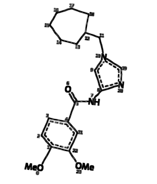 COc1ccc(C(=O)Nc2cn(CC3CCCCCC3)cn2)cc1OC